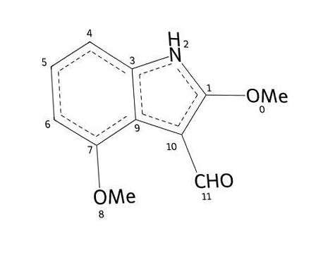 COc1[nH]c2cccc(OC)c2c1C=O